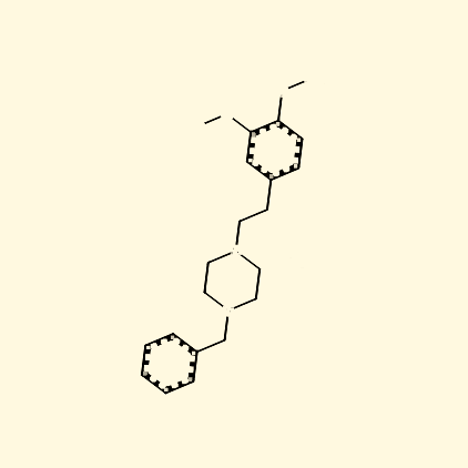 COc1ccc(CCN2CCN(Cc3ccccc3)CC2)cc1OC.Cl.Cl